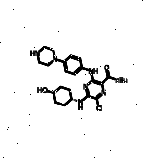 CCCCC(=O)c1nc(Cl)c(N[C@H]2CC[C@H](O)CC2)nc1Nc1ccc(N2CCNCC2)cc1